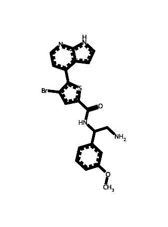 COc1cccc(C(CN)NC(=O)c2cc(Br)c(-c3ccnc4[nH]ccc34)s2)c1